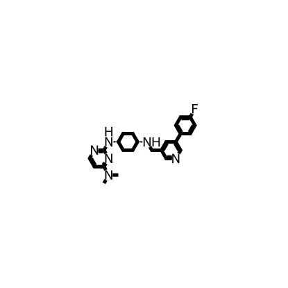 CN(C)c1ccnc(N[C@H]2CC[C@@H](NCc3cncc(-c4ccc(F)cc4)c3)CC2)n1